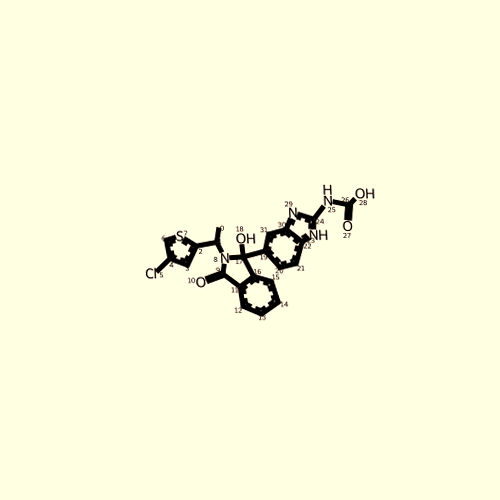 CC(c1cc(Cl)cs1)N1C(=O)c2ccccc2C1(O)c1ccc2[nH]c(NC(=O)O)nc2c1